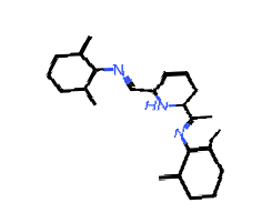 C/C(=N\C1C(C)CCCC1C)C1CCCC(/C=N/C2C(C)CCCC2C)N1